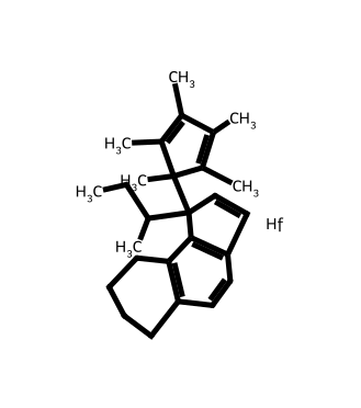 CCC(C)C1(C2(C)C(C)=C(C)C(C)=C2C)C=Cc2ccc3c(c21)CCCC3.[Hf]